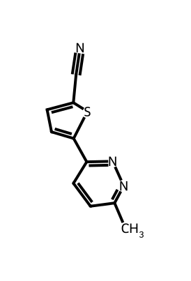 Cc1ccc(-c2ccc(C#N)s2)nn1